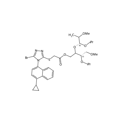 COC[C@H](OC(C)C)C(COC(=O)CSc1nnc(Br)n1-c1ccc(C2CC2)c2ccccc12)O[C@@H](OC(C)C)C(C)OC